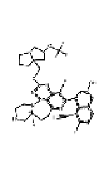 C#Cc1c(F)ccc2cc(O)cc(-c3nc4c5c(nc(OCC67CCCN6CC(OC(F)(F)F)C7)nc5c3F)N3CCNC[C@H]3CC4)c12